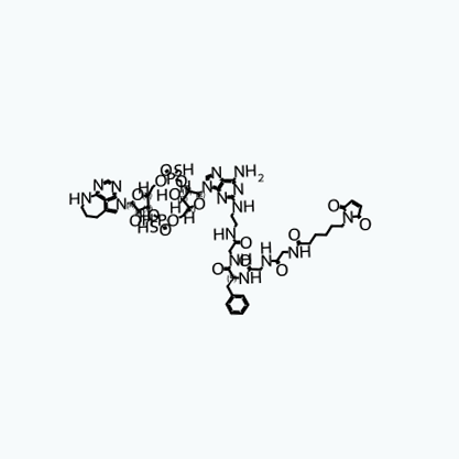 Nc1nc(NCCNC(=O)CNC(=O)[C@H](Cc2ccccc2)NC(=O)CNC(=O)CNC(=O)CCCCCN2C(=O)C=CC2=O)nc2c1ncn2[C@@H]1O[C@@H]2COP(=O)(S)O[C@H]3[C@@H](O)[C@H](n4cc5c6c(ncnc64)NCCC5)O[C@@H]3COP(=O)(S)O[C@@H]1[C@@H]2O